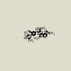 CNc1nc(Nc2ccc(N3C[C@@H](C)N[C@@H](C)C3)c(C#N)c2)c(C(N)=O)nc1-c1cncc2c1ncn2C